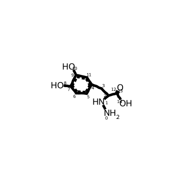 NNC(Cc1ccc(O)c(O)c1)C(=O)O